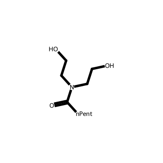 CCCCCC(=O)N(CCO)CCO